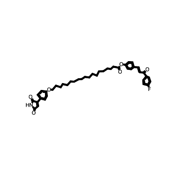 O=C1C=C(c2ccc(OCCCCCCCCCCCCCCCCCCC(=O)Oc3ccc(C=CC(=O)c4ccc(F)cc4)cc3)cc2)C(=O)N1